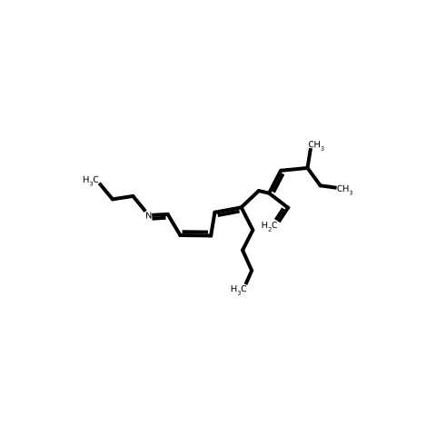 C=C/C(=C\C(C)CC)C/C(=C/C=C\C=N\CCC)CCCC